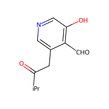 CC(C)C(=O)Cc1cncc(O)c1C=O